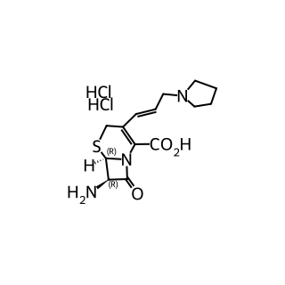 Cl.Cl.N[C@@H]1C(=O)N2C(C(=O)O)=C(C=CCN3CCCC3)CS[C@H]12